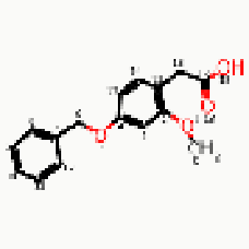 COc1cc(OCc2ccccc2)ccc1CC(=O)O